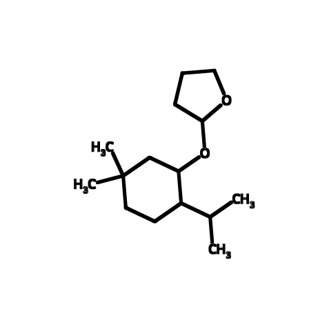 CC(C)C1CCC(C)(C)CC1OC1CCCO1